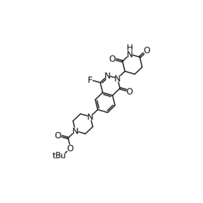 CC(C)(C)OC(=O)N1CCN(c2ccc3c(=O)n(C4CCC(=O)NC4=O)nc(F)c3c2)CC1